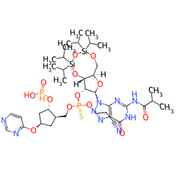 CC(C)C(=O)Nc1nc2c(nnn2[C@@H]2O[C@@H]3CO[Si](C(C)C)(C(C)C)O[Si](C(C)C)(C(C)C)O[C@H]3[C@H]2O[P@](=S)(OCCC#N)OC[C@H]2C[C@@H](Oc3ccncn3)C[C@@H]2O[PH](=O)O)c(=O)[nH]1